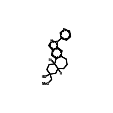 CC[C@]12CC[C@@](O)(COC)C[C@H]1CCCc1cc3c(cnn3-c3cccnc3)cc12